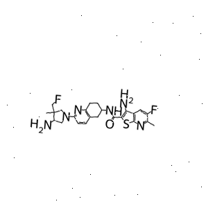 Cc1nc2sc(C(=O)NC3CCc4nc(N5CC(N)C(C)(CF)C5)ccc4C3)c(N)c2cc1F